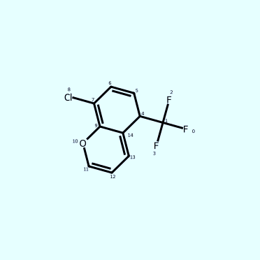 FC(F)(F)C1C=CC(Cl)=C2OC=CC=C21